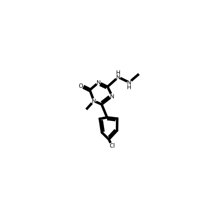 CNNc1nc(-c2ccc(Cl)cc2)n(C)c(=O)n1